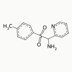 Cc1ccc(S(=O)(=O)C(N)c2ccccn2)cc1